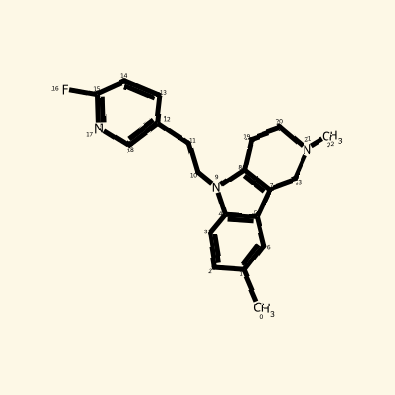 Cc1ccc2c(c1)c1c(n2CCc2ccc(F)nc2)CCN(C)C1